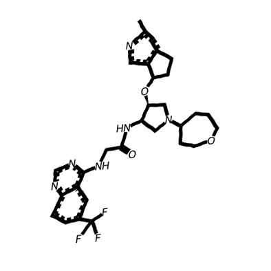 Cc1cc2c(cn1)C(O[C@H]1CN(C3CCCOCC3)CC1NC(=O)CNc1ncnc3ccc(C(F)(F)F)cc13)CC2